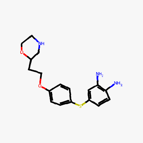 Nc1ccc(Sc2ccc(OCCC3CNCCO3)cc2)cc1N